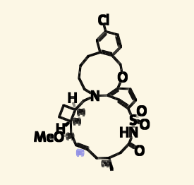 CO[C@H]1/C=C/C[C@H](C)CC(=O)NS(=O)(=O)c2ccc3c(c2)N(CCCCc2cc(Cl)ccc2CO3)C[C@@H]2CC[C@H]21